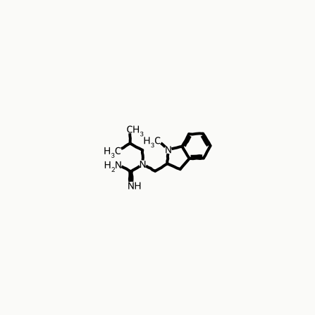 CC(C)CN(CC1Cc2ccccc2N1C)C(=N)N